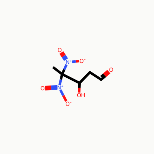 CC(C(O)C[C]=O)([N+](=O)[O-])[N+](=O)[O-]